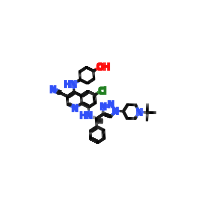 CC(C)(C)N1CCC(n2cc([C@@H](Nc3cc(Cl)cc4c(NC5CCC(O)CC5)c(C#N)cnc34)c3ccccc3)nn2)CC1